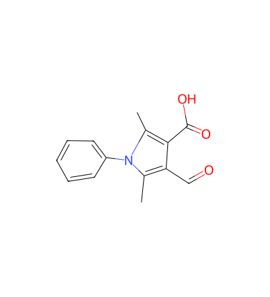 Cc1c(C=O)c(C(=O)O)c(C)n1-c1ccccc1